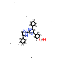 Oc1ccc(-c2cc(-c3ccccc3)nc(-c3nccc(-c4ccccc4)n3)n2)cc1